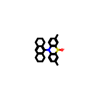 Cc1ccc2c(c1)[S+]([O-])c1cc(C)ccc1N2c1c2c(cc3c1CCCC3)CCCC2